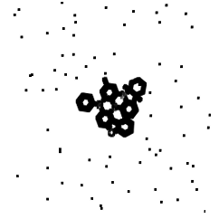 Cc1cc2c3c(c1)N1c4c(cccc4C4(C)CCCCC14C)B3c1c(ccc3oc4ccccc4c13)N2c1ccccc1